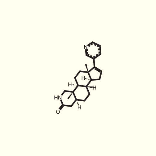 C[C@]12CNC(=O)C[C@@H]1CC[C@@H]1[C@@H]2CC[C@]2(C)C(c3cccnc3)=CC[C@@H]12